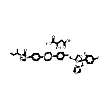 CCC(C)n1ncn(-c2ccc(N3CCN(c4ccc(OC[C@H]5CO[C@](Cn6cncn6)(c6ccc(F)cc6F)O5)cc4)CC3)cc2)c1=O.O=C(O)CC(O)C(=O)O